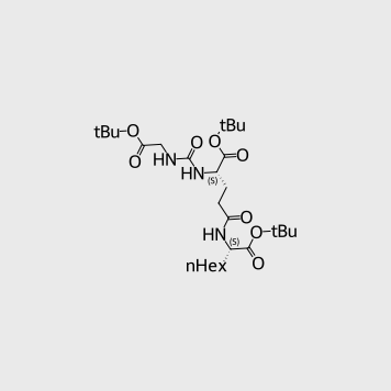 CCCCCC[C@H](NC(=O)CC[C@H](NC(=O)NCC(=O)OC(C)(C)C)C(=O)OC(C)(C)C)C(=O)OC(C)(C)C